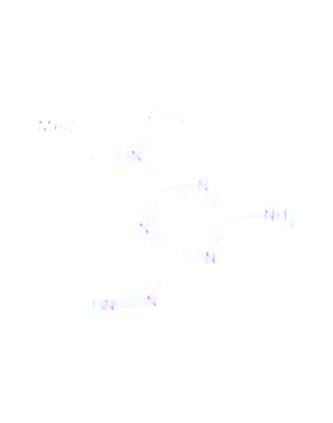 COCN(C=O)c1nc(N)nc(N=N)n1